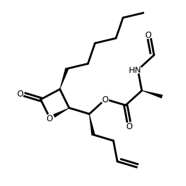 C=CCC[C@H](OC(=O)[C@H](C)NC=O)[C@H]1OC(=O)[C@H]1CCCCCC